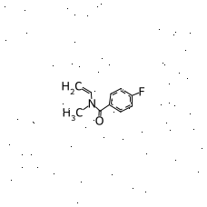 C=CN(C)C(=O)c1ccc(F)cc1